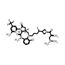 C=C(CN(C)C)C(=O)N1CC(C(F)CCCN2C[C@H]3CC(=O)N(c4cc(C(F)(F)F)cc(C)n4)[C@@H]3C(=O)N(C)c3cccc(Cl)c32)C1